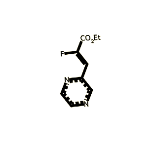 CCOC(=O)/C(F)=C/c1cnccn1